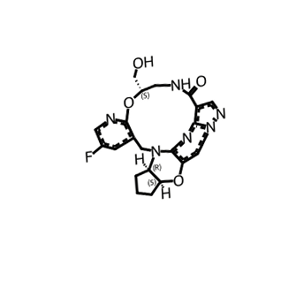 O=C1NC[C@@H](CO)Oc2ncc(F)cc2CN2c3nc4c1cnn4cc3O[C@H]1CCC[C@H]12